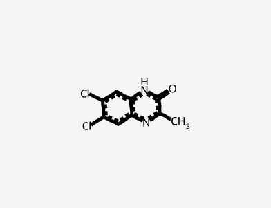 Cc1nc2cc(Cl)c(Cl)cc2[nH]c1=O